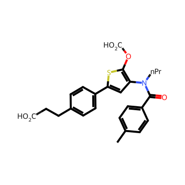 CCCN(C(=O)c1ccc(C)cc1)c1cc(-c2ccc(CCC(=O)O)cc2)sc1OC(=O)O